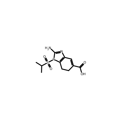 CC(C)S(=O)(=O)n1c(N)nc2c1CCC(C(=O)O)=C2